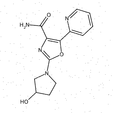 NC(=O)c1nc(N2CCC(O)C2)oc1-c1ccccn1